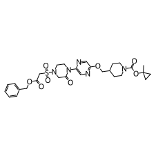 CC1(OC(=O)N2CCC(COc3cnc(N4CCN(S(=O)(=O)CC(=O)OCc5ccccc5)CC4=O)cn3)CC2)CC1